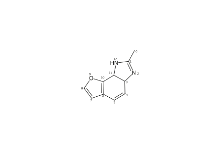 CC1=NC2C=Cc3ccoc3C2N1